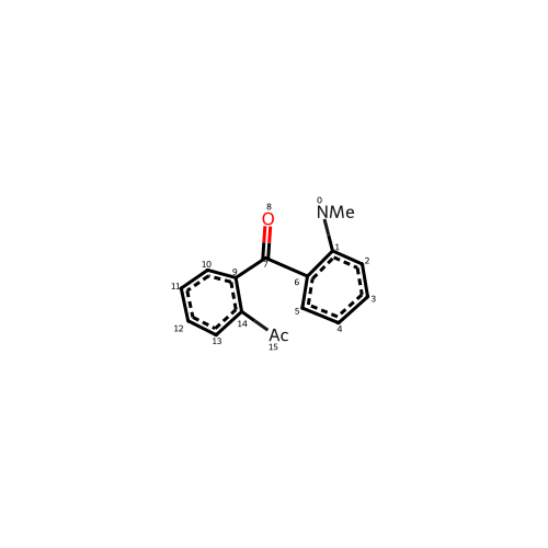 CNc1ccccc1C(=O)c1ccccc1C(C)=O